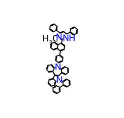 CN1C(c2ccccc2)=CC(c2ccccc2)NC1c1ccc(-c2ccc(N3c4ccccc4-c4c(n(-c5ccccc5-c5ccccc5)c5ccccc45)-c4ccccc43)cc2)c2ccccc12